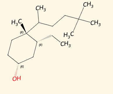 CC[C@@H]1C[C@H](O)CC[C@]1(C)C(C)CCC(C)(C)C